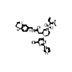 C=CC(N(C)C)S(=O)(=O)N1CCN(c2cc(Cl)nc(-n3ccnc3)n2)C(CC(=O)NCc2ccc3c(c2)OCCO3)C1